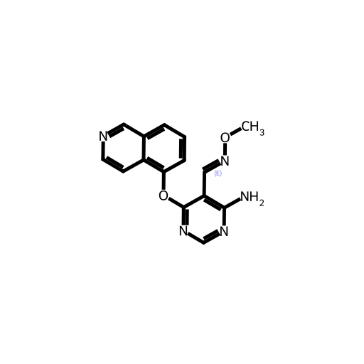 CO/N=C/c1c(N)ncnc1Oc1cccc2cnccc12